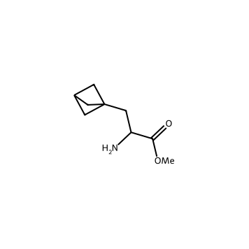 COC(=O)C(N)CC12CC(C1)C2